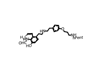 C/C=C\c1c(CCNCCc2ccc(OCCCNCCCCC)cc2)ccc(O)c1NC=O